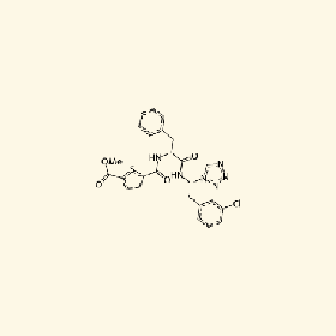 COC(=O)c1ccc(C(=O)NC(Cc2ccccc2)C(=O)NC(Cc2cccc(Cl)c2)n2cnnn2)s1